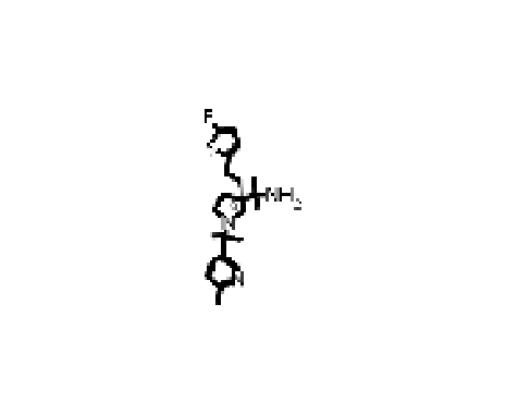 Cc1ccc(C(C)(C)N2CC[C@](CCc3ccc(F)s3)(C(C)(C)N)C2)cn1